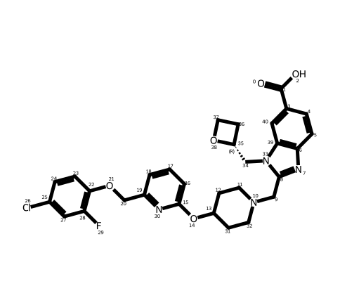 O=C(O)c1ccc2nc(CN3CCC(Oc4cccc(COc5ccc(Cl)cc5F)n4)CC3)n(C[C@H]3CCO3)c2c1